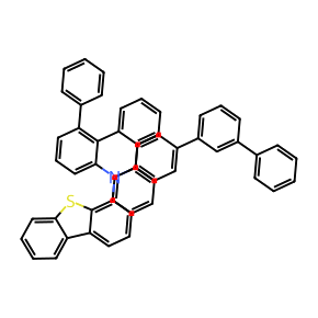 c1ccc(-c2cccc(-c3ccc(N(c4cccc(-c5ccccc5)c4-c4ccccc4-c4ccccc4)c4cccc5c4sc4ccccc45)cc3)c2)cc1